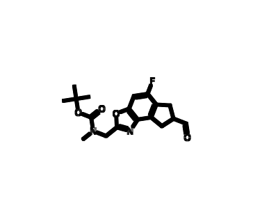 CN(Cc1nc2c3c(c(F)cc2o1)CC(C=O)C3)C(=O)OC(C)(C)C